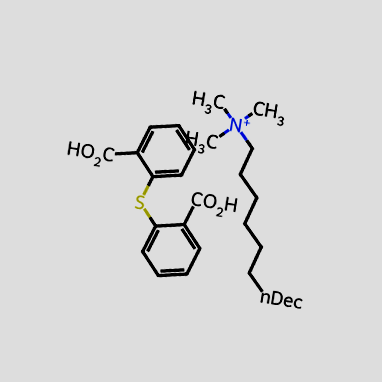 CCCCCCCCCCCCCCCC[N+](C)(C)C.O=C(O)c1ccccc1Sc1ccccc1C(=O)O